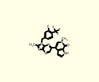 Cc1nc2ncc(-c3cn(C)c(=O)c4[nH]ccc34)nc2n1Cc1ccc(C(F)(F)F)c(F)c1